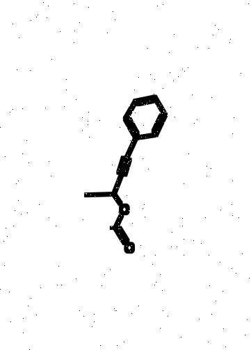 CC(C#Cc1ccccc1)O[C]=O